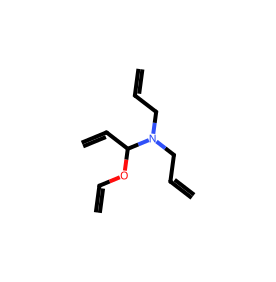 C=CCN(CC=C)C(C=C)OC=C